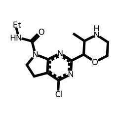 CCNC(=O)N1CCc2c(Cl)nc(C3OCCNC3C)nc21